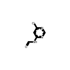 O=CNc1cc(Cl)ncn1